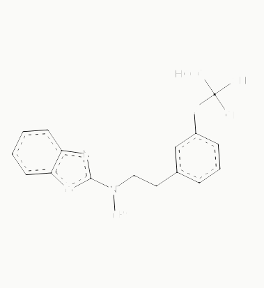 CCCN(CCc1cccc(OC(C)(C)C(=O)O)c1)c1nc2ccccc2o1